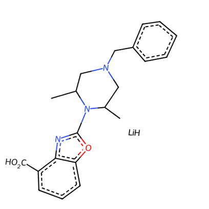 CC1CN(Cc2ccccc2)CC(C)N1c1nc2c(C(=O)O)cccc2o1.[LiH]